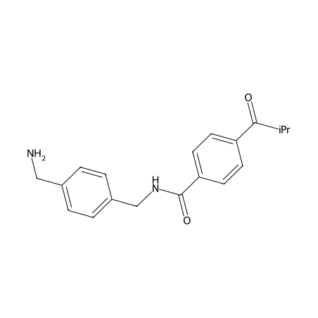 CC(C)C(=O)c1ccc(C(=O)NCc2ccc(CN)cc2)cc1